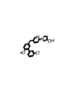 COc1ccc(Cc2ccc(N3CCC(O)C3)nc2)cc1-c1cccc(Cl)c1